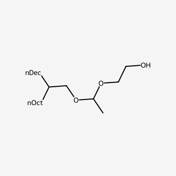 CCCCCCCCCCC(CCCCCCCC)COC(C)OCCO